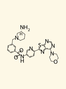 N[C@@H]1CCCN(Cc2cccc(S(=O)(=O)Nc3ccc(-c4nc5c(N6CCOCC6)ncnc5s4)nc3)c2)C1